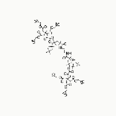 CC(C)(C)CC(C)(C)C(OC(=O)C(=O)OC(CC(=O)OCC1CO1)(CC(=O)OCC1CO1)CC(=O)OCC1CO1)C(C)(C)CC(C)(C)C(=O)NCCNC(=O)C(C)(O)CC(C)(C)C(OC(=O)C(=O)OC(CC(=O)OCC1CO1)(CC(=O)OCC1CO1)CC(=O)OCC1CO1)C(C)(C)CC(C)(C)C